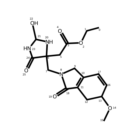 CCOC(=O)CC1(CN2CC3=C(CC(OC)C=C3)C2=O)NC(O)NC1=O